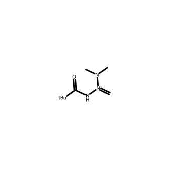 C=[N+](NC(=O)C(C)(C)C)N(C)C